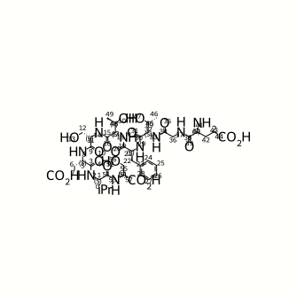 CC(C)[C@H](NC(=O)[C@H](CC(=O)O)NC(=O)[C@H](CO)NC(=O)[C@@H](NC(=O)[C@H](Cc1ccccc1)NC(=O)[C@@H](NC(=O)CNC(=O)[C@@H](N)CCC(=O)O)[C@@H](C)O)[C@@H](C)O)C(=O)N[C@@H](CO)C(=O)O